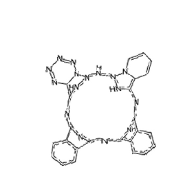 C1=CC2=c3nc4[nH]c(nc5nc(nc6[nH]n([nH]n([nH]3)N2C=C1)N1N=NN=NC=61)-c1ccccc1-5)c1ccccc41